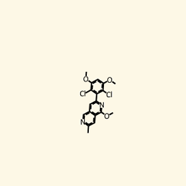 COc1cc(OC)c(Cl)c(-c2cc3cnc(C)cc3c(OC)n2)c1Cl